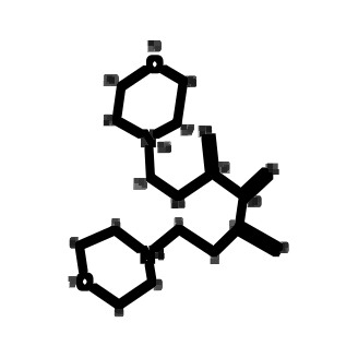 C=C(CCN1CCOCC1)C(=C)C(=C)CCN1CCOCC1